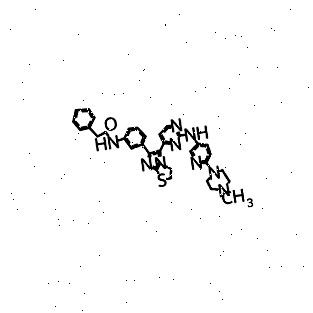 CN1CCN(c2ccc(Nc3nccc(-c4c(-c5cccc(NC(=O)Cc6ccccc6)c5)nc5n4CCS5)n3)cn2)CC1